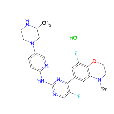 CC1CN(c2ccc(Nc3ncc(F)c(-c4cc(F)c5c(c4)N(C(C)C)CCO5)n3)nc2)CCN1.Cl